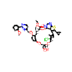 CCOC(=O)[C@H]1Cc2cc(ccc2OCc2ccnc(-c3ccccc3OC)n2)OC[C@@H](CO)Oc2ccc(c(C)c2Cl)-c2c(C3CC3)sc3ncnc(c23)O1